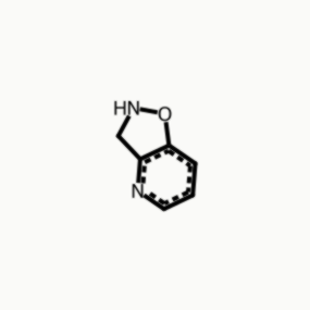 c1cnc2c(c1)ONC2